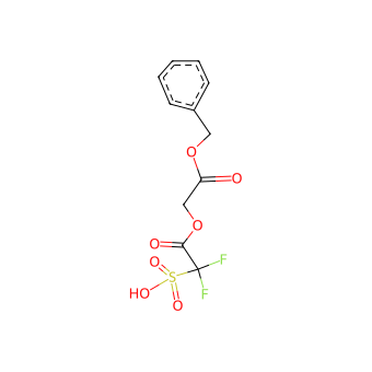 O=C(COC(=O)C(F)(F)S(=O)(=O)O)OCc1ccccc1